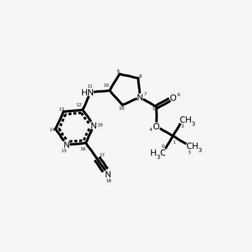 CC(C)(C)OC(=O)N1CCC(Nc2ccnc(C#N)n2)C1